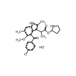 COc1c(C)cc2[nH]c(C)c(C(C)C(=O)OC3CCCN3)c2c1C(=O)c1ccc(Cl)cc1.Cl